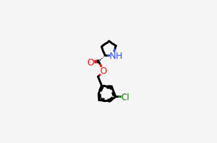 O=C(OCc1cccc(Cl)c1)[C@@H]1CCCN1